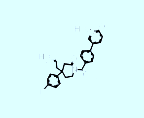 C=CCC1(c2ccc(F)cc2)CCN([C@@H](C)c2ccc(-c3ccc(=O)n(C)c3)cc2)C(=O)C1